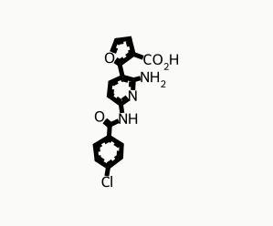 Nc1nc(NC(=O)c2ccc(Cl)cc2)ccc1-c1occc1C(=O)O